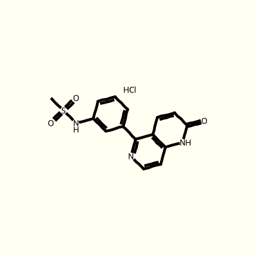 CS(=O)(=O)Nc1cccc(-c2nccc3[nH]c(=O)ccc23)c1.Cl